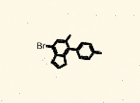 Cc1ccc(-c2c(C)cc(Br)c3c2CC=C3)cc1